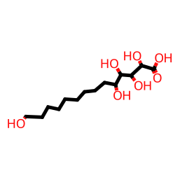 O=C(O)C(O)C(O)C(O)C(O)CCCCCCCCCO